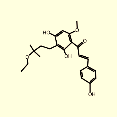 CCOC(C)(C)CCc1c(O)cc(OC)c(C(=O)/C=C/c2ccc(O)cc2)c1O